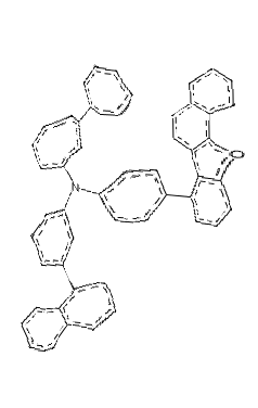 c1ccc(-c2cccc(N(c3ccc(-c4cccc5oc6c7ccccc7ccc6c45)cc3)c3cccc(-c4cccc5ccccc45)c3)c2)cc1